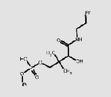 CC(C)CCNC(=O)C(O)C(C)(C)COP(=O)(O)OC(C)C